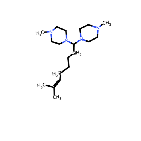 CC(C)=C[SiH2]CC[SiH2]C(N1CCN(C)CC1)N1CCN(C)CC1